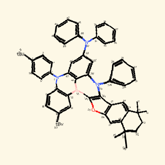 CC(C)(C)c1ccc(N2c3ccc(C(C)(C)C)cc3B3c4oc5cc6c(cc5c4N(c4ccccc4)c4cc(N(c5ccccc5)c5ccccc5)cc2c43)C(C)(C)CCC6(C)C)cc1